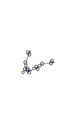 C=CC(=O)OCCCCCCOc1ccc(C(=O)Oc2ccc(/C=C/C(=O)OCC(OC(=O)c3ccc(OCCCCCCOC(=O)C=C)cc3)c3ccccc3)cc2)cc1